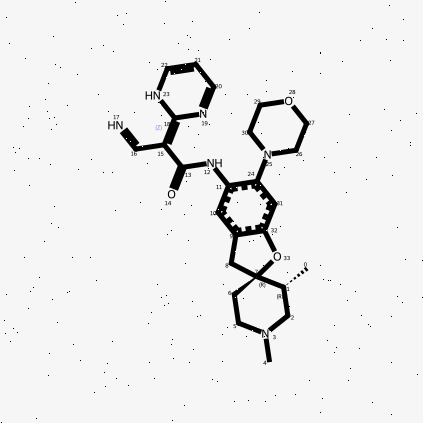 C[C@@H]1CN(C)CC[C@]12Cc1cc(NC(=O)/C(C=N)=C3\N=CC=CN3)c(N3CCOCC3)cc1O2